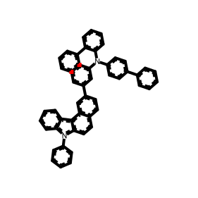 c1ccc(-c2ccc(N(c3cccc(-c4ccc5ccc6c(c5c4)c4ccccc4n6-c4ccccc4)c3)c3ccccc3-c3ccccc3)cc2)cc1